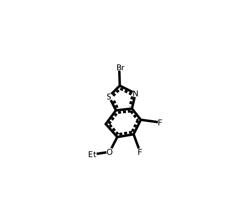 CCOc1cc2sc(Br)nc2c(F)c1F